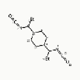 CCC(N=C=O)C1CCC(C(CC)N=C=O)CC1